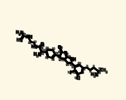 C[C@H](N)CCCc1cc(Cl)c(F)c(-c2cc3cn(-c4ccc([C@@H](N)C(=O)NCCNC(=N)N)cc4)c(=O)nc3[nH]2)c1